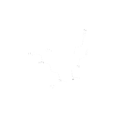 CC(C)NCCCN(C)C[C@H]1CCN(c2ccc(C#N)cc2)C1